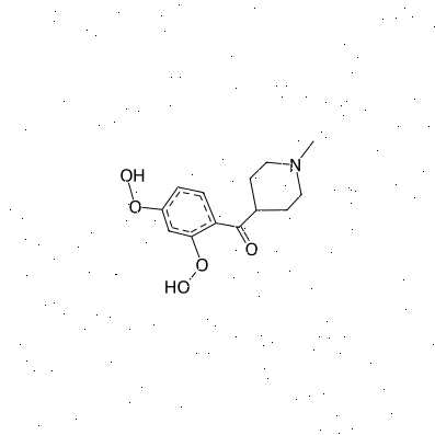 CN1CCC(C(=O)c2ccc(OO)cc2OO)CC1